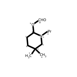 CC(C)N1CC(C)(C)CCC1OC=O